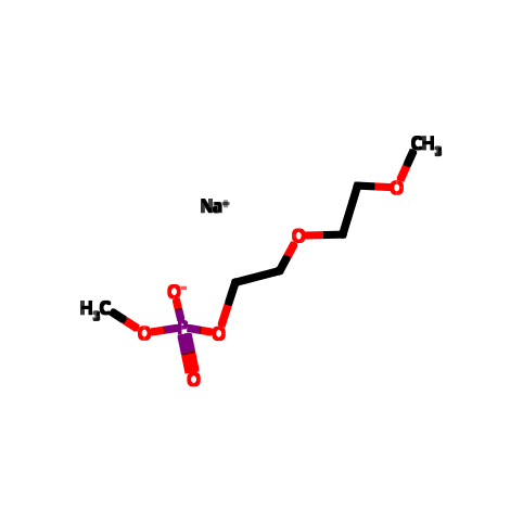 COCCOCCOP(=O)([O-])OC.[Na+]